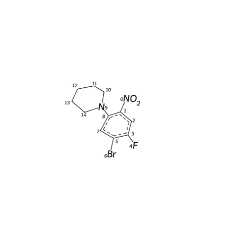 O=[N+]([O-])c1cc(F)c(Br)cc1N1CCCCC1